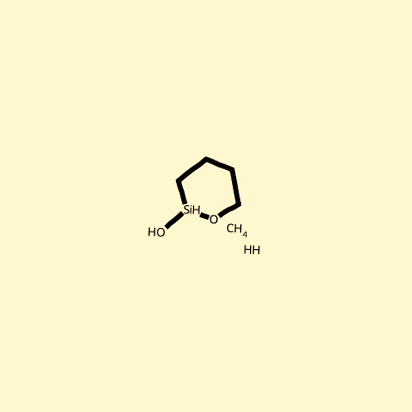 C.O[SiH]1CCCCO1.[HH]